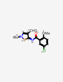 COc1ccc(Cl)cc1C(=O)N=c1sn(C(C)(C)C)cc1C=O